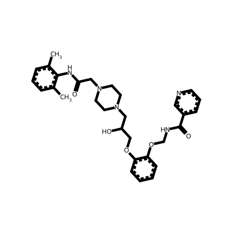 Cc1cccc(C)c1NC(=O)CN1CCN(CC(O)COc2ccccc2OCNC(=O)c2cccnc2)CC1